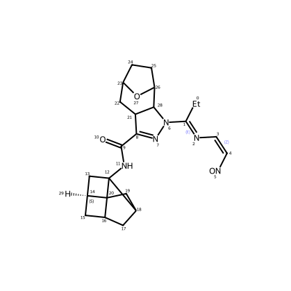 CC/C(=N\C=C/N=O)N1N=C(C(=O)NC23C[C@@H]4CC5CC2CC543)C2CC3CCC(O3)C21